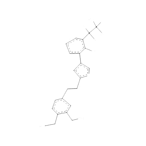 CCc1c(-c2csc(CCc3ccc(CO)c(CO)c3)c2)cccc1C(F)(F)C(O)(F)C(F)(F)F